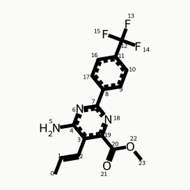 CC=Cc1c(N)nc(-c2ccc(C(F)(F)F)cc2)nc1C(=O)OC